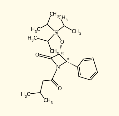 CC(C)CC(=O)N1C(=O)[C@H](O[Si](C(C)C)(C(C)C)C(C)C)[C@@H]1c1ccccc1